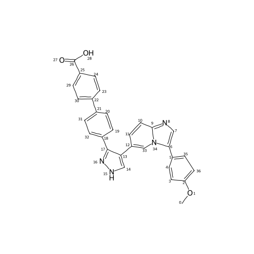 COc1ccc(-c2cnc3ccc(-c4c[nH]nc4-c4ccc(-c5ccc(C(=O)O)cc5)cc4)cn23)cc1